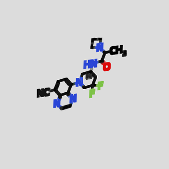 CC(C(=O)N[C@H]1CN(c2ccc(C#N)c3nccnc23)CC(F)(F)C1)N1CCC1